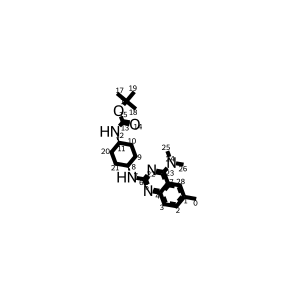 Cc1ccc2nc(N[C@H]3CC[C@@H](NC(=O)OC(C)(C)C)CC3)nc(N(C)C)c2c1